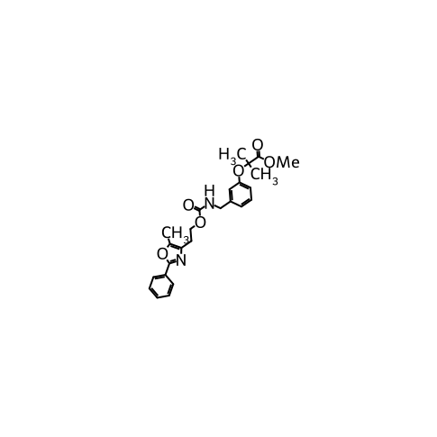 COC(=O)C(C)(C)Oc1cccc(CNC(=O)OCCc2nc(-c3ccccc3)oc2C)c1